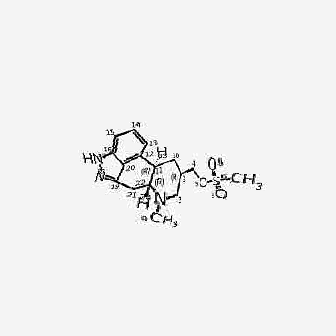 CN1C[C@H](COS(C)(=O)=O)C[C@@H]2c3cccc4[nH]nc(c34)C[C@H]21